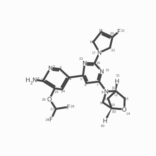 Nc1ncc(-c2cc(N3C[C@@H]4C[C@H]3CO4)nc(N3CC=C(F)C3)n2)cc1OC(F)F